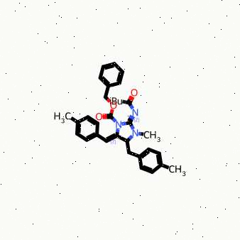 CCC(C)C(=O)/N=C1\N(C(=O)OCc2ccccc2)/C(=C\c2ccc(C)cc2)C(Cc2ccc(C)cc2)N1C